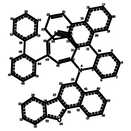 C1#CCC(N(c2ccccc2-c2cc3c(c4ccccc24)C=CCC3)c2cc3c4ccccc4oc3c3ccccc23)=CC(c2ccccc2-c2ccccc2)=C1